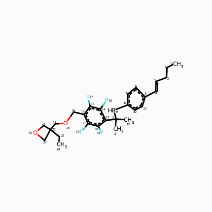 CCC/C=C/c1ccc(BC(C)(C)c2c(F)c(F)c(COCC3(CC)COC3)c(F)c2F)cc1